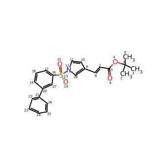 CC(C)(C)OC(=O)/C=C/c1ccn(S(=O)(=O)c2cccc(-c3ccccc3)c2)c1